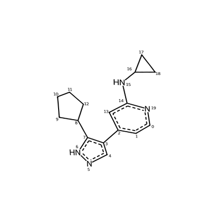 c1cc(-c2cn[nH]c2C2CCCC2)cc(NC2CC2)n1